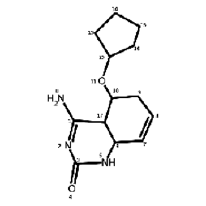 NC1=NC(=O)NC2C=CCC(OC3CCCC3)C12